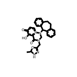 CC1NN=C(CN2CN(C3c4ccccc4CCc4ccccc43)n3ccc(=O)c(O)c3C2=O)O1